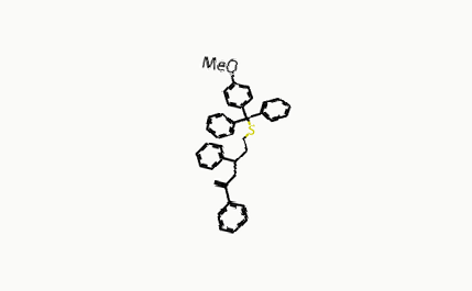 C=C(CC(CCSC(c1ccccc1)(c1ccccc1)c1ccc(OC)cc1)c1ccccc1)c1ccccc1